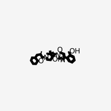 C[C@H](CC1CCCCC1)C(=O)N1CCC(O)(Cn2cnc(-c3ccccc3CO)cc2=O)C(C)(C)C1